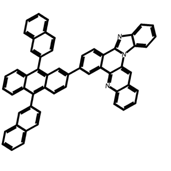 c1ccc2cc(-c3c4ccccc4c(-c4ccc5ccccc5c4)c4cc(-c5ccc6c(c5)c5nc7ccccc7cc5n5c7ccccc7nc65)ccc34)ccc2c1